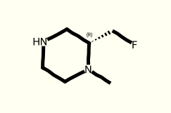 CN1CCNC[C@@H]1CF